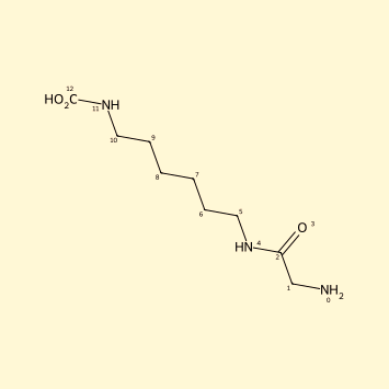 NCC(=O)NCCCCCCNC(=O)O